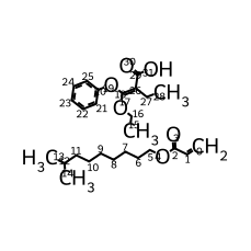 C=CC(=O)OCCCCCCCC(C)C.CCOC(Oc1ccccc1)=C(CC)C(=O)O